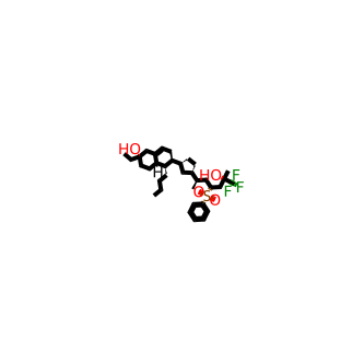 CCCC[C@H]1[C@H]([C@@H]2CC[C@H]([C@H](C)CC(CC(C)(O)C(F)(F)F)S(=O)(=O)c3ccccc3)C2)CC=C2C[C@](O)(CC)CC[C@@H]21